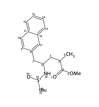 COC(=O)C(C)CC(Cc1ccc2ccccc2c1)N[S+]([O-])C(C)(C)C